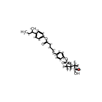 CCC(C)c1ccc(OC(=O)CCCSc2ccc(OS(=O)(=O)C(F)(F)C(F)(F)C(F)(F)S(=O)(=O)O)cc2)cc1